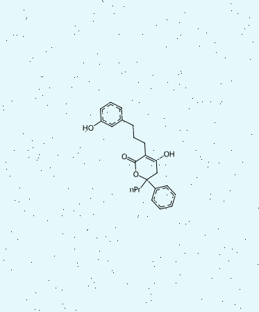 CCCC1(c2ccccc2)CC(O)=C(CCCc2cccc(O)c2)C(=O)O1